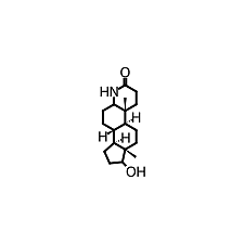 C[C@]12CCC(=O)NC1CC[C@@H]1[C@@H]2CC[C@]2(C)C(O)CC[C@@H]12